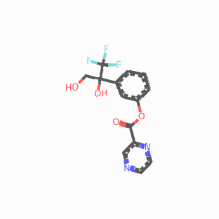 O=C(Oc1cccc(C(O)(CO)C(F)(F)F)c1)c1cnccn1